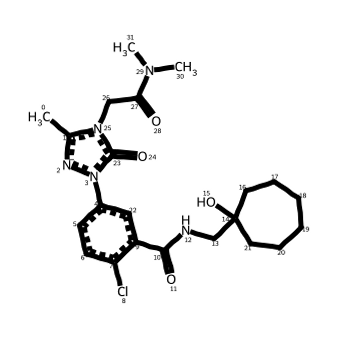 Cc1nn(-c2ccc(Cl)c(C(=O)NCC3(O)CCCCCC3)c2)c(=O)n1CC(=O)N(C)C